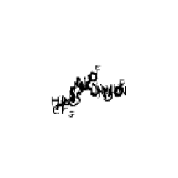 O=C(Nc1cn2nc(-c3c(-c4ccc(F)cc4)nn4c3CN(C(=O)NCCC(F)(F)F)CC4)ccc2n1)c1ccnc(F)c1